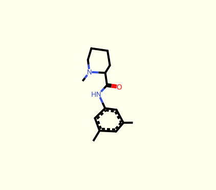 Cc1cc(C)cc(NC(=O)C2CCCCN2C)c1